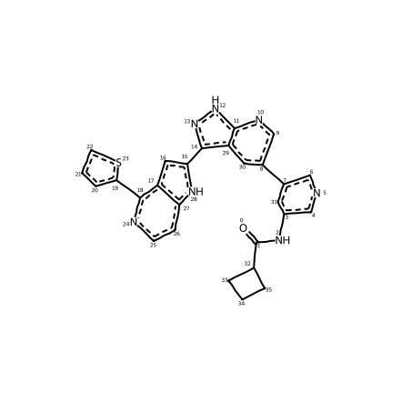 O=C(Nc1cncc(-c2cnc3[nH]nc(-c4cc5c(-c6cccs6)nccc5[nH]4)c3c2)c1)C1CCC1